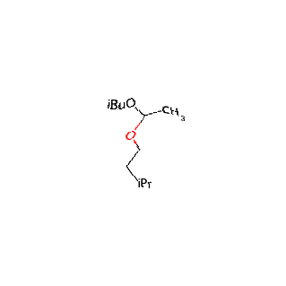 CC(C)CCOC(C)OCC(C)C